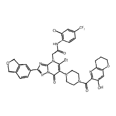 CCc1c(N2CCN(C(=O)c3nc4c(cc3O)OCCC4)CC2)c(=O)n2nc(-c3ccc4c(c3)COC4)nc2n1CC(=O)Nc1ccc(C(F)(F)F)cc1Cl